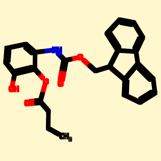 CCCC(=O)Oc1c(O)cccc1NC(=O)OCC1c2ccccc2-c2ccccc21